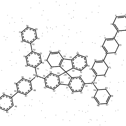 C1=CCCC(C2=CC=C(C3=CC=C(N(c4ccc5c(c4)C4(C6=C(C=CCC6)c6ccccc64)c4cc(N(c6ccc(-c7ccccc7)cc6)c6ccc(-c7ccccc7)cc6)ccc4-5)C4C=CC=CC4)CC3)CC2)=C1